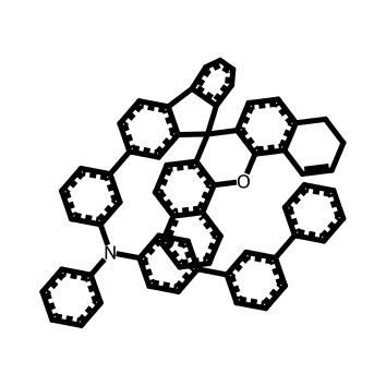 C1=Cc2c(ccc3c2Oc2c(ccc4ccccc24)C32c3ccccc3-c3ccc(-c4cccc(N(c5ccccc5)c5ccc(-c6cccc(-c7ccccc7)c6)cc5)c4)cc32)CC1